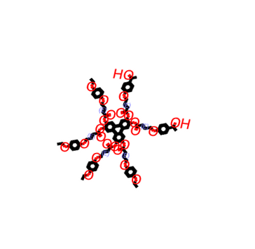 CCOc1ccc(OC/C=C/C(=O)Oc2cc3c4cc(OC(=O)/C=C/COc5ccc(OCC)cc5)c(OC(=O)/C=C/COc5ccc(OCC)cc5)cc4c4cc(OC(=O)/C=C/COc5ccc(C(C)O)cc5)c(OC(=O)/C=C/COc5ccc(C(C)O)cc5)cc4c3cc2OC(=O)/C=C/COc2ccc(OCC)cc2)cc1